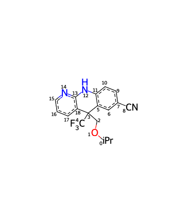 CC(C)OCC1(C(F)(F)F)c2cc(C#N)ccc2Nc2ncccc21